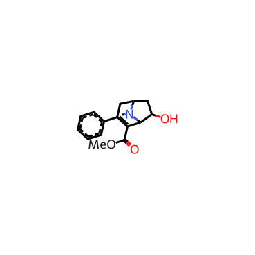 COC(=O)C1=C(c2ccccc2)CC2CC(O)C1N2C